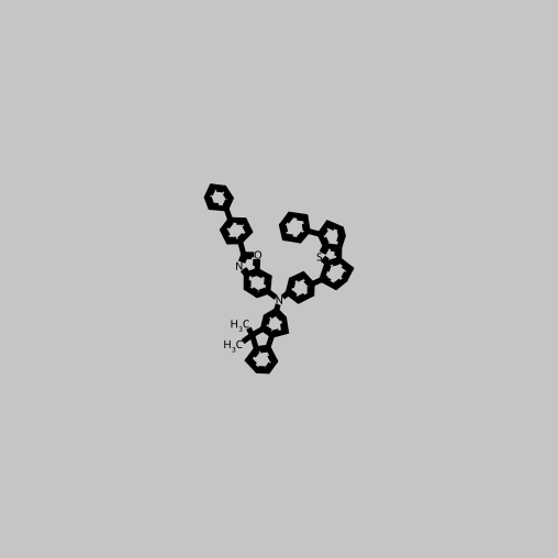 CC1(C)c2ccccc2-c2ccc(N(c3ccc(-c4cccc5c4sc4c(-c6ccccc6)cccc45)cc3)c3ccc4nc(-c5ccc(-c6ccccc6)cc5)oc4c3)cc21